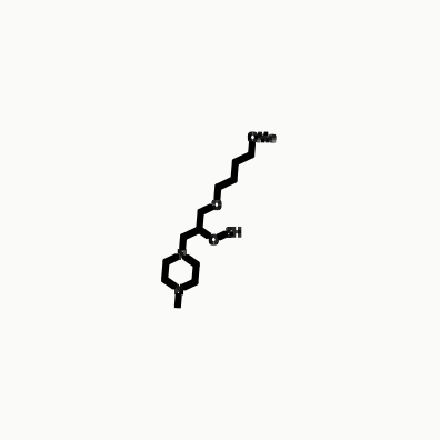 COCCCCOCC(CN1CCN(C)CC1)OS